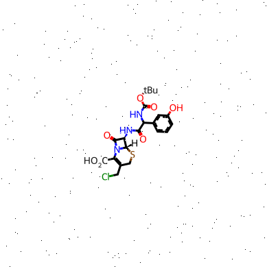 CC(C)(C)OC(=O)NC(C(=O)N[C@@H]1C(=O)N2C(C(=O)O)=C(CCl)CS[C@@H]12)c1cccc(O)c1